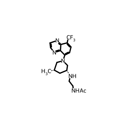 CC(=O)NCCN[C@@H]1C[C@H](C)CN(c2ccc(C(F)(F)F)c3nccnc23)C1